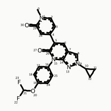 Cn1ccc(-c2cc3cn(C4CC4)nc3n(-c3ccc(OC(F)F)cc3)c2=O)cc1=O